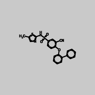 Cc1cnc(NS(=O)(=O)c2ccc(Oc3ccccc3-c3ccccc3)c(C#N)c2)s1